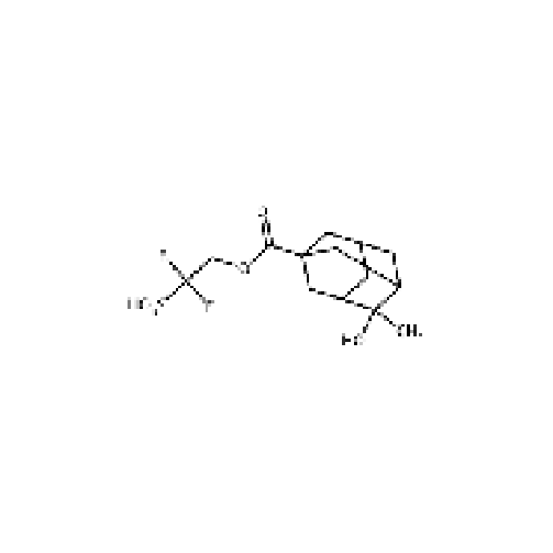 CC1(O)C2CC3CC1CC(C(=O)OCC(F)(F)S(=O)(=O)O)(C3)C2